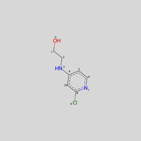 OCCNc1ccnc(Cl)c1